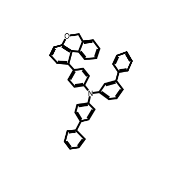 c1ccc(-c2ccc(N(c3ccc(-c4cccc5c4-c4ccccc4CO5)cc3)c3cccc(-c4ccccc4)c3)cc2)cc1